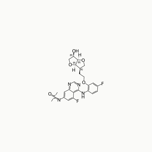 CS(C)(=O)=Nc1cc(F)c2c(Nc3ccc(F)cc3OCC[C@@H]3CO[C@H]4[C@@H]3OC[C@H]4O)ncnc2c1